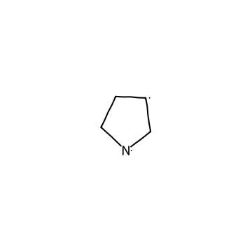 [CH]1CC[N]C1